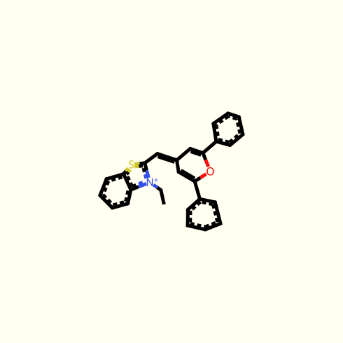 CC[n+]1c(C=C2C=C(c3ccccc3)OC(c3ccccc3)=C2)sc2ccccc21